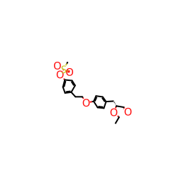 CCO[C@@H](C=O)Cc1ccc(OCCc2ccc(OS(C)(=O)=O)cc2)cc1